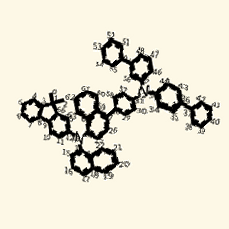 CC1(C)c2ccccc2-c2ccc(N(c3cccc4ccccc34)c3ccc(-c4ccc(N(c5ccc(-c6ccccc6)cc5)c5cccc(-c6ccccc6)c5)cc4)c4ccccc34)cc21